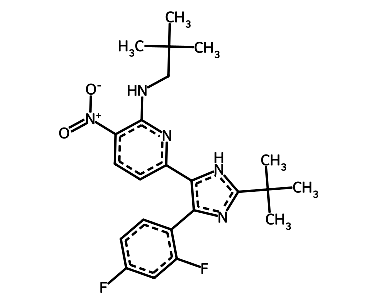 CC(C)(C)CNc1nc(-c2[nH]c(C(C)(C)C)nc2-c2ccc(F)cc2F)ccc1[N+](=O)[O-]